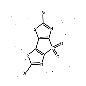 O=S1(=O)c2nc(Br)sc2-c2sc(Br)nc21